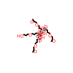 CO[Si](O)(CCCOCC1CO1)O[Si](O)(CCCOCC1CO1)O[Si](CCCOCCCO)(OC)O[Si](O)(CCCOCC1CO1)OC